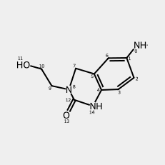 [NH]c1ccc2c(c1)CN(CCO)C(=O)N2